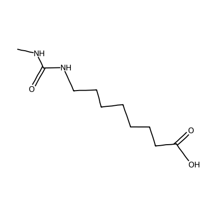 CNC(=O)NCCCCCCCC(=O)O